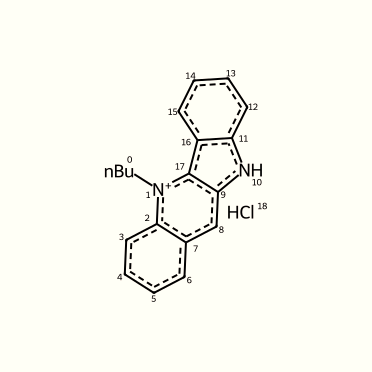 CCCC[n+]1c2ccccc2cc2[nH]c3ccccc3c21.Cl